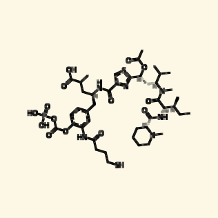 CC[C@H](C)[C@H](NC(=O)[C@H]1CCCCN1C)C(=O)N(C)[C@H](C[C@@H](OC(C)=O)c1nc(C(=O)N[C@@H](Cc2ccc(OC(=O)OP(=O)(O)O)c(NC(=O)CCCS)c2)CC(C)C(=O)O)cs1)C(C)C